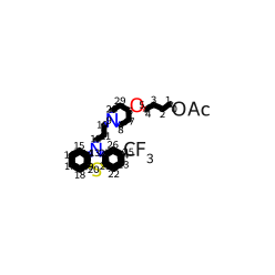 CC(=O)OCCCCOC1CCN(CCCN2c3ccccc3Sc3ccc(C(F)(F)F)cc32)CC1